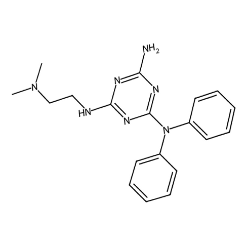 CN(C)CCNc1nc(N)nc(N(c2ccccc2)c2ccccc2)n1